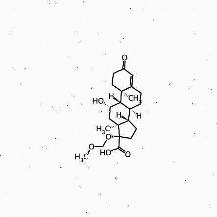 COCO[C@]1(C(=O)O)CC[C@H]2[C@@H]3CCC4=CC(=O)CC[C@]4(C)[C@H]3[C@@H](O)C[C@@]21C